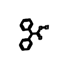 O=C(OCl)C(c1ccccc1)c1ccccc1